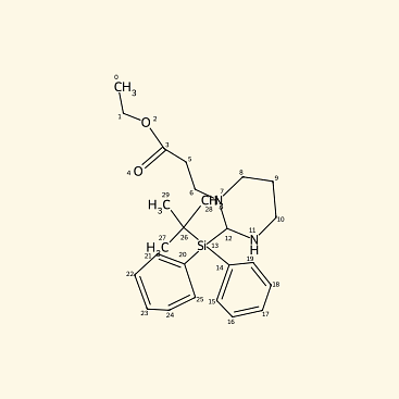 CCOC(=O)CCN1CCCNC1[Si](c1ccccc1)(c1ccccc1)C(C)(C)C